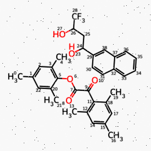 Cc1cc(C)c(OC(=O)C(=O)c2c(C)cc(C)cc2C)c(C)c1.OC(CC(O)C(F)(F)F)c1ccc2ccccc2c1